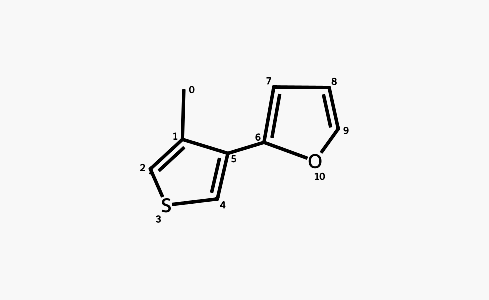 Cc1[c]scc1-c1ccco1